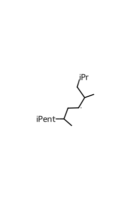 CCCC(C)C(C)C[CH]C(C)CC(C)C